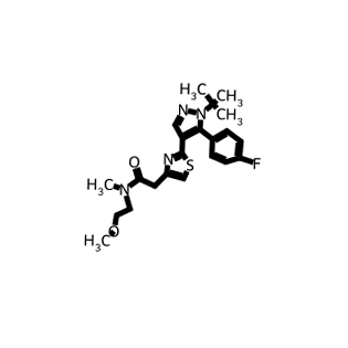 COCCN(C)C(=O)Cc1csc(-c2cnn(C(C)(C)C)c2-c2ccc(F)cc2)n1